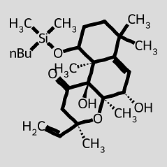 C=C[C@@]1(C)CC(=O)[C@]2(O)[C@]3(C)C(=C[C@H](O)[C@@]2(C)O1)C(C)(C)CCC3O[Si](C)(C)CCCC